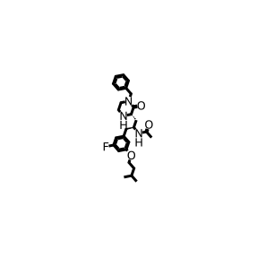 CC(=O)N[C@@H](Cc1cc(F)cc(OCCC(C)C)c1)C[C@@H]1NCCN(Cc2ccccc2)C1=O